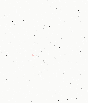 CCOC1CCN2C(=O)CC(=O)C12C(=O)C1CNCCN1c1nc(N(CC)CC)nc(N(CC)CC)c1C(C)=O